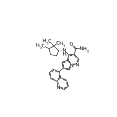 CC1CC[C@@H](Nc2c(C(N)=O)cnn3cc(-c4cccc5ncccc45)cc23)C1(C)C